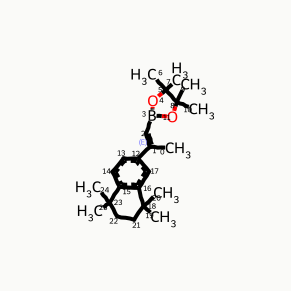 C/C(=C\B1OC(C)(C)C(C)(C)O1)c1ccc2c(c1)C(C)(C)CCC2(C)C